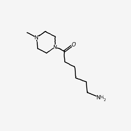 CN1CCN(C(=O)CCCCCN)CC1